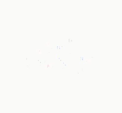 CCON=C(C)c1cc2n(CC(C)(C)C)c(=O)c(C(=O)NC3CC3)c(O)n2n1